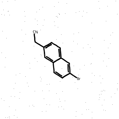 N#CCc1ccc2cc(Br)ccc2c1